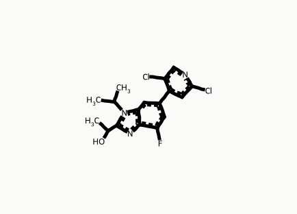 CC(O)c1nc2c(F)cc(-c3cc(Cl)ncc3Cl)cc2n1C(C)C